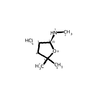 CN[C@@H]1CCC(C)(C)O1.Cl